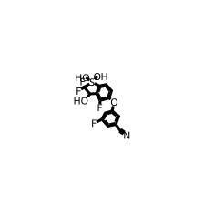 N#Cc1cc(F)cc(Oc2ccc3c(c2F)C(O)C(F)(F)S3(O)O)c1